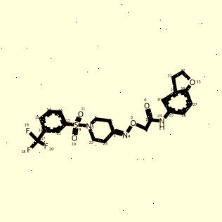 O=C(CON=C1CCN(S(=O)(=O)c2cccc(C(F)(F)F)c2)CC1)Nc1ccc2c(c1)CCO2